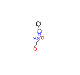 O=CCCCNC(=O)N1CCC(c2ccccc2)CC1